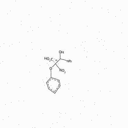 CCCC(O)[C@@](Oc1ccccc1)(C(=O)O)[N+](=O)[O-]